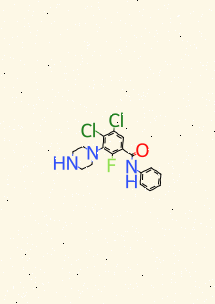 O=C(Nc1ccccc1)c1cc(Cl)c(Cl)c(N2CCNCC2)c1F